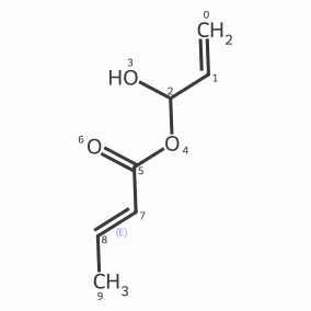 C=CC(O)OC(=O)/C=C/C